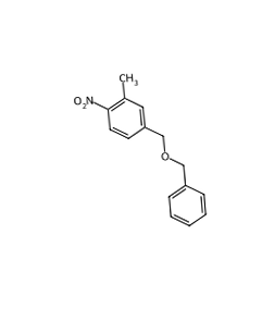 Cc1cc(COCc2ccccc2)ccc1[N+](=O)[O-]